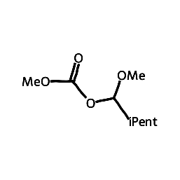 CCCC(C)C(OC)OC(=O)OC